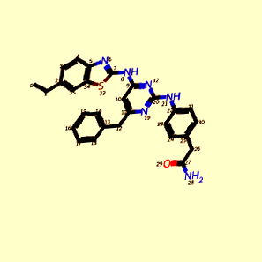 CCc1ccc2nc(Nc3cc(Cc4ccccc4)nc(Nc4ccc(CC(N)=O)cc4)n3)sc2c1